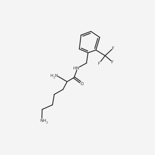 NCCCCC(N)C(=O)NCc1ccccc1C(F)(F)F